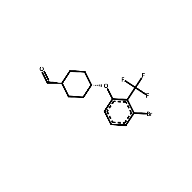 O=C[C@H]1CC[C@H](Oc2cccc(Br)c2C(F)(F)F)CC1